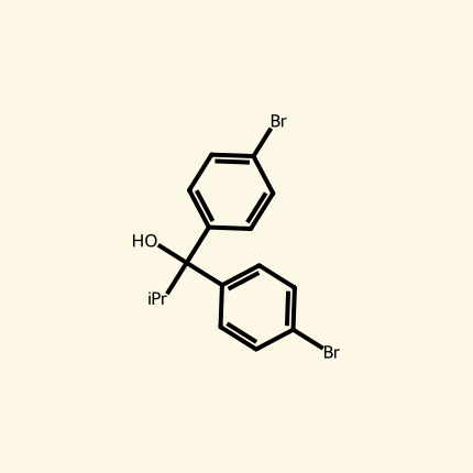 CC(C)C(O)(c1ccc(Br)cc1)c1ccc(Br)cc1